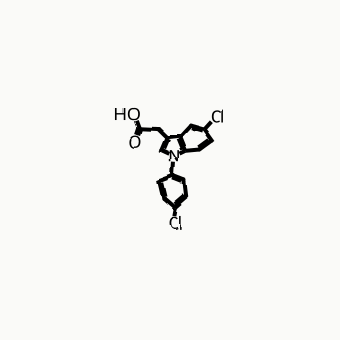 O=C(O)Cc1cn(-c2ccc(Cl)cc2)c2ccc(Cl)cc12